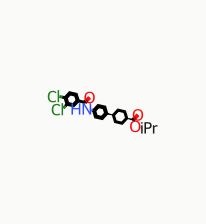 CC(C)OC(=O)[C@H]1CC[C@@H](c2ccc(NC(=O)c3ccc(Cl)c(Cl)c3)cc2)CC1